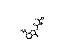 CCC(=O)NC(=O)CN1Cc2c(N)cccc2C1=O